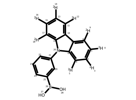 [2H]c1c([2H])c([2H])c2c(c1[2H])c1c([2H])c([2H])c([2H])c([2H])c1n2-c1cccc(B(O)O)c1